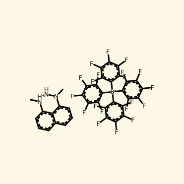 CN1N[NH+](C)c2cccc3cccc1c23.Fc1c(F)c(F)c([B-](c2c(F)c(F)c(F)c(F)c2F)(c2c(F)c(F)c(F)c(F)c2F)c2c(F)c(F)c(F)c(F)c2F)c(F)c1F